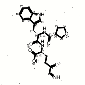 N=CC(=O)CC[C@H](NC(=O)[C@H](Cc1c[nH]c2ccccc12)NC(=O)[C@@H]1CCOC1)C(=O)O